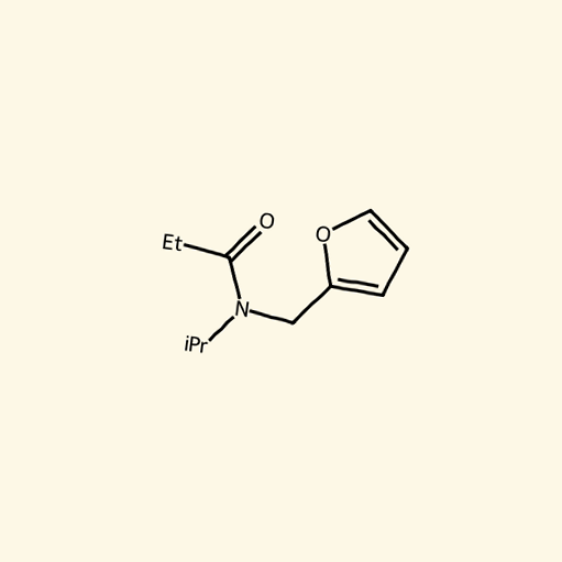 CCC(=O)N(Cc1ccco1)C(C)C